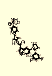 NS(=O)(=O)c1ccc(N2CC(NC(=O)c3cnn4ccc(N5CCC[C@@H]5c5cc(F)cc(F)c5)cc34)C2)nc1